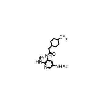 CC(=O)Nc1cnc(NC(C)C)c(NC(=O)CC2CCC(C(F)(F)F)CC2)c1